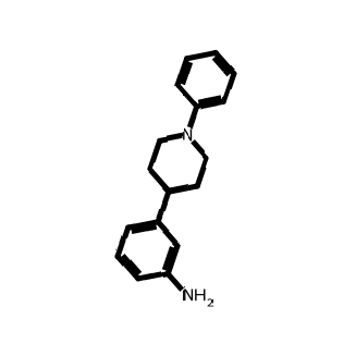 Nc1cccc(C2CCN(c3ccccc3)CC2)c1